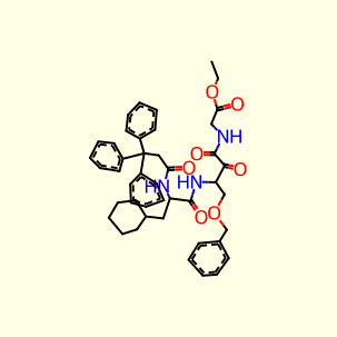 CCOC(=O)CNC(=O)C(=O)C(COCc1ccccc1)NC(=O)C(CC1CCCCC1)NC(=O)CC(c1ccccc1)(c1ccccc1)c1ccccc1